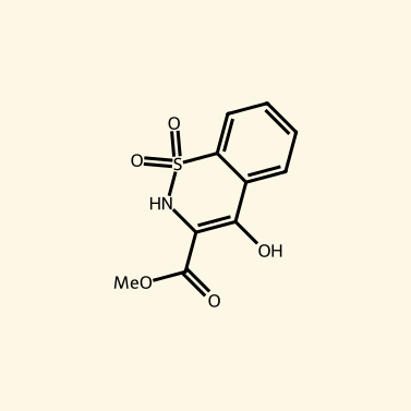 COC(=O)C1=C(O)c2ccccc2S(=O)(=O)N1